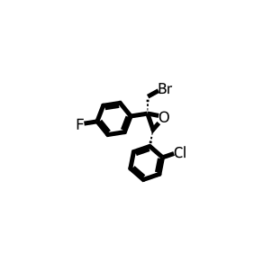 Fc1ccc([C@@]2(CBr)O[C@@H]2c2ccccc2Cl)cc1